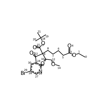 CCOC(=O)CCCCC(C(=O)COC)(C(=O)OC(C)(C)C)C(=O)c1cncc(Br)c1